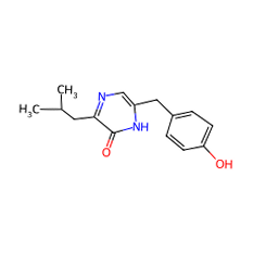 CC(C)Cc1ncc(Cc2ccc(O)cc2)[nH]c1=O